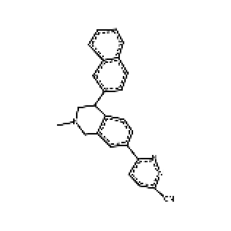 CN1Cc2cc(-c3ccc(C#N)nn3)ccc2C(c2ccc3ccccc3c2)C1